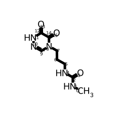 CNC(=O)NCCCn1[c]n[nH]c(=O)c1=O